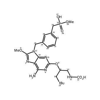 COc1nc2c(N)nc(OC(CNC(=O)O)CC(C)(C)C)nc2n1Cc1cccc(CP(=O)(O)OC)c1